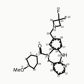 CO[C@H]1CC[C@H](C(=O)N2Cc3cccnc3Nc3ccc(CN4CC(F)(F)C4)cc32)CC1